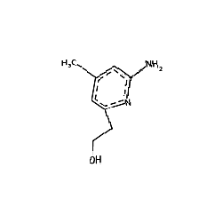 Cc1cc(N)nc(CCO)c1